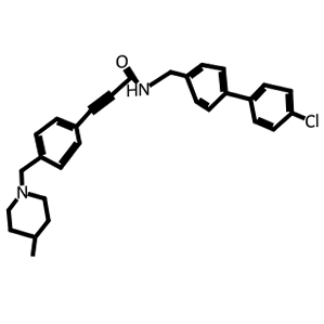 CC1CCN(Cc2ccc(C#CC(=O)NCc3ccc(-c4ccc(Cl)cc4)cc3)cc2)CC1